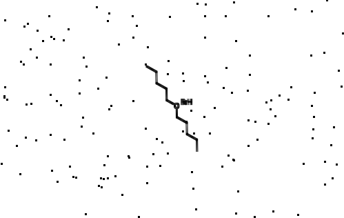 Br.CCCCCOCCCCC